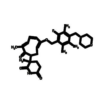 Bc1c(B)c(COC2=C\CN(C3(B)CCC(=O)NC3=O)C(=O)/C(C)=C/C=C\2)c(F)c(B)c1CN1CCOCC1